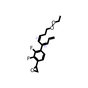 C=C/C=C(\C=C/CCOOCC)c1ccc(C2CO2)c(F)c1F